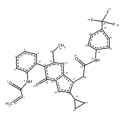 C=CC(=O)Nc1ccccc1-c1c(CC)nc2n(CC(=O)Nc3ccc(C(F)(F)F)cc3)c(C3CC3)nn2c1=O